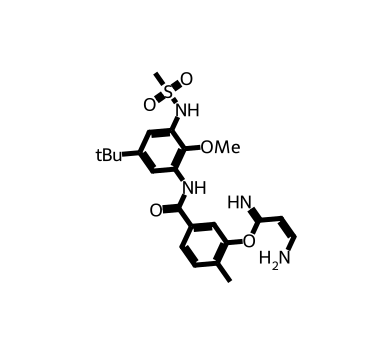 COc1c(NC(=O)c2ccc(C)c(OC(=N)/C=C\N)c2)cc(C(C)(C)C)cc1NS(C)(=O)=O